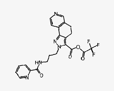 O=C(NCCCn1nc2c(c1C(=O)OC(=O)C(F)(F)F)CCc1cnccc1-2)c1ccccn1